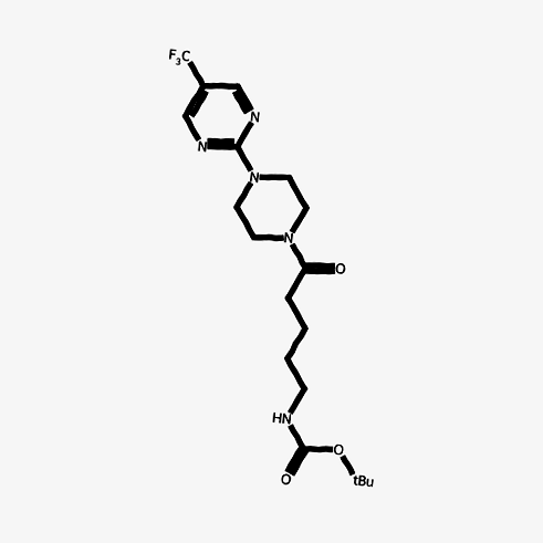 CC(C)(C)OC(=O)NCCCCC(=O)N1CCN(c2ncc(C(F)(F)F)cn2)CC1